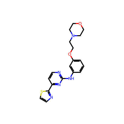 c1cc(Nc2nccc(-c3nccs3)n2)cc(OCCN2CCOCC2)c1